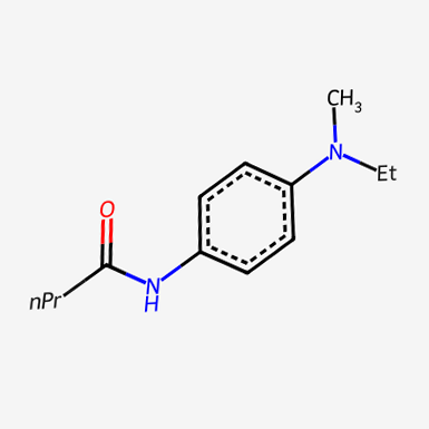 CCCC(=O)Nc1ccc(N(C)CC)cc1